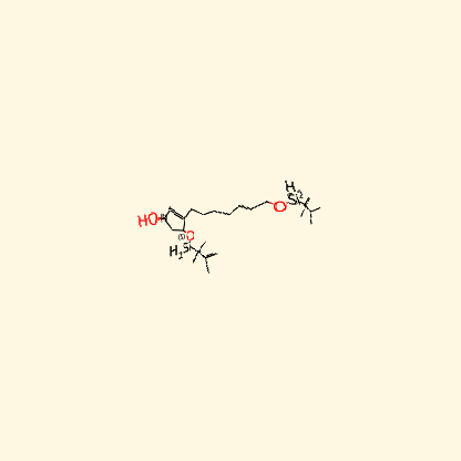 CC(C)C(C)(C)[SiH2]OCCCCCCCC1=C[C@H](O)C[C@@H]1O[SiH2]C(C)(C)C(C)C